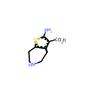 Nc1sc2c(c1C(=O)O)CCNCC2